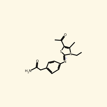 CCn1c(C)c(C(C)=O)s/c1=N\c1ccc(CC(N)=O)cc1